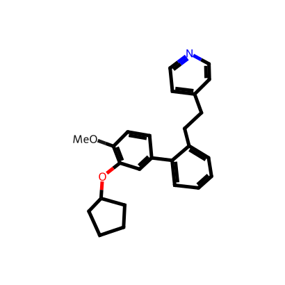 COc1ccc(-c2ccccc2CCc2ccncc2)cc1OC1CCCC1